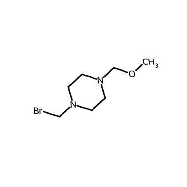 COCN1CCN(CBr)CC1